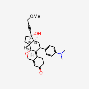 COCC#C[C@]1(O)CC[C@H]2[C@@H]3OCC4=CC(=O)CCC4=C3C(c3ccc(N(C)C)cc3)C[C@@]21C